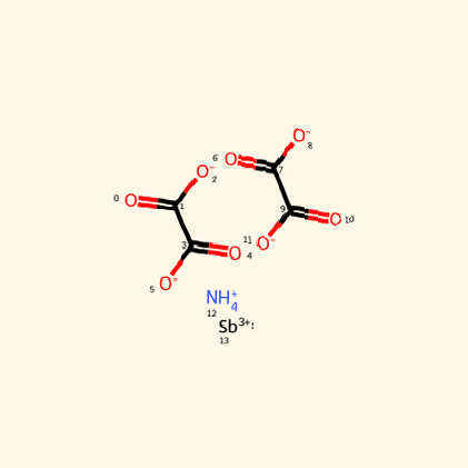 O=C([O-])C(=O)[O-].O=C([O-])C(=O)[O-].[NH4+].[Sb+3]